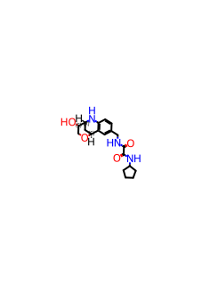 O=C(NCc1ccc2c(c1)[C@@H]1C[C@@H](N2)[C@H](O)CO1)C(=O)NC1CCCC1